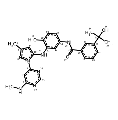 CNc1cc(-n2nc(C)cc2Nc2cc(NC(=O)c3cccc(C(C)(C)O)c3)ccc2C)ncn1